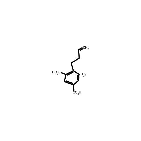 C=CCCc1ccc(C(=O)O)cc1C(=O)O.S